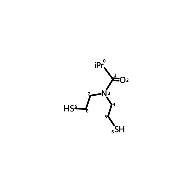 CC(C)C(=O)N(CCS)CCS